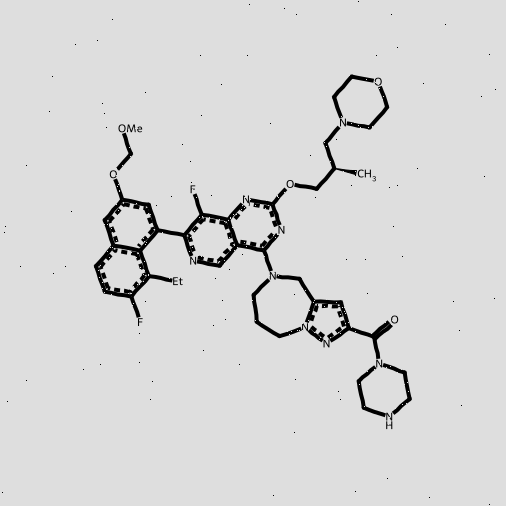 CCc1c(F)ccc2cc(OCOC)cc(-c3ncc4c(N5CCCn6nc(C(=O)N7CCNCC7)cc6C5)nc(OC[C@H](C)CN5CCOCC5)nc4c3F)c12